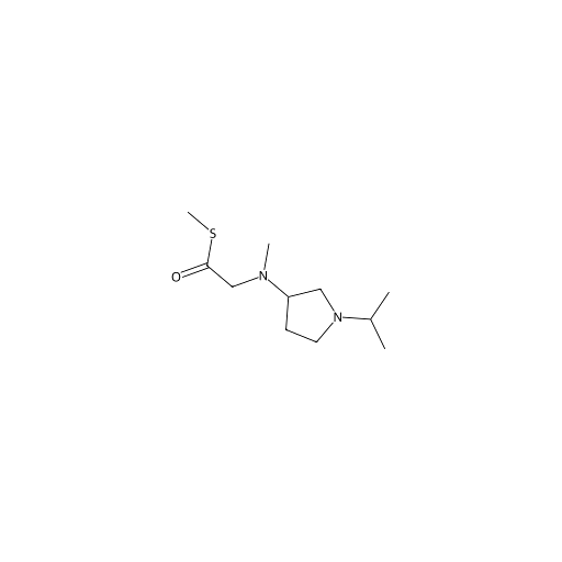 CSC(=O)CN(C)C1CCN(C(C)C)C1